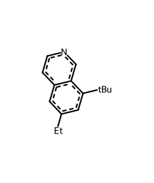 CCc1cc(C(C)(C)C)c2cnccc2c1